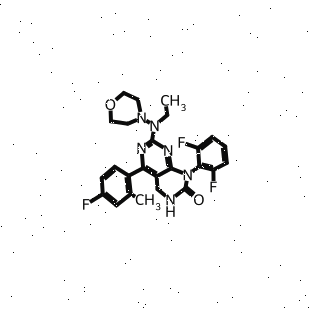 CCN(c1nc(-c2ccc(F)cc2C)c2c(n1)N(c1c(F)cccc1F)C(=O)NC2)N1CCOCC1